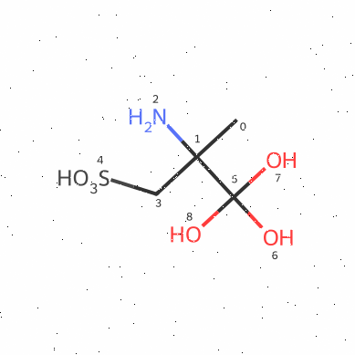 CC(N)(CS(=O)(=O)O)C(O)(O)O